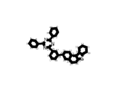 c1ccc(-c2nc(-c3ccccc3)nc(-c3cccc(-c4ccc5c(ccc6sc7ccccc7c65)c4)c3)n2)cc1